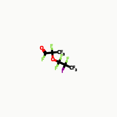 O=C(F)C(F)(OC(F)(F)C(F)(I)C(F)(F)F)C(F)(F)F